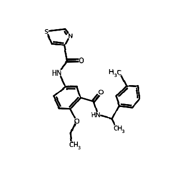 CCOc1ccc(NC(=O)c2cscn2)cc1C(=O)NC(C)c1cccc(C)c1